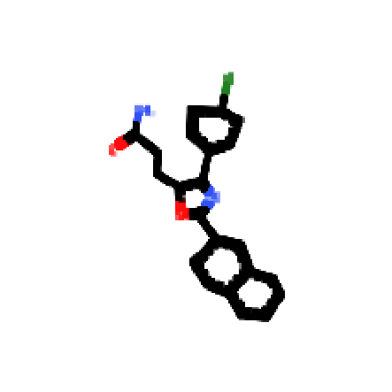 NC(=O)CCc1oc(-c2ccc3ccccc3c2)nc1-c1ccc(Cl)cc1